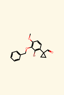 COc1ccc(C2(C=O)CC2)c(Br)c1OCc1ccccc1